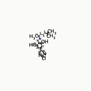 CC(C)=CCC/C(C)=C/Cc1c(O)cc(-c2cnc(Cl)nc2)cc1O